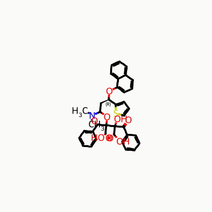 CN(C)C(C[C@@H](Oc1cccc2ccccc12)c1cccs1)OC(C(=O)O)(C(=O)c1ccccc1)C(O)(C(=O)O)C(=O)c1ccccc1